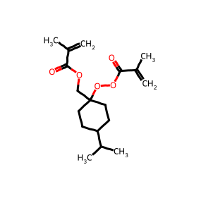 C=C(C)C(=O)OCC1(OOC(=O)C(=C)C)CCC(C(C)C)CC1